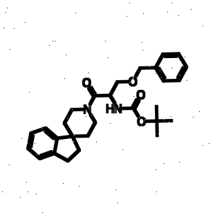 CC(C)(C)OC(=O)NC(COCc1ccccc1)C(=O)N1CCC2(CCc3ccccc32)CC1